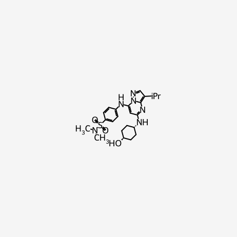 CC(C)c1cnn2c(Nc3ccc(S(=O)(=O)N(C)C)cc3)cc(N[C@H]3CC[C@H](O)CC3)nc12